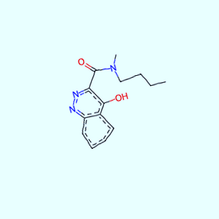 CCCCN(C)C(=O)c1nnc2ccccc2c1O